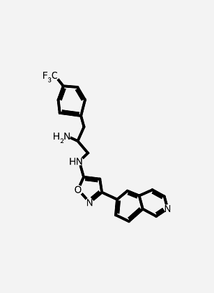 NC(CNc1cc(-c2ccc3cnccc3c2)no1)Cc1ccc(C(F)(F)F)cc1